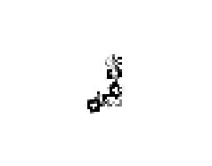 C[C@H]1CN(S(C)(=O)=O)CCN1c1cc(-c2nc3ccccc3n2C)c(Cl)cn1